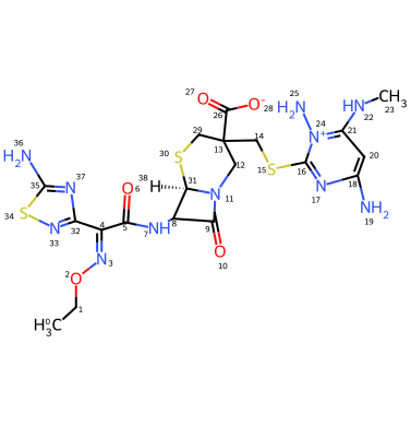 CCON=C(C(=O)NC1C(=O)N2CC(CSc3nc(N)cc(NC)[n+]3N)(C(=O)[O-])CS[C@H]12)c1nsc(N)n1